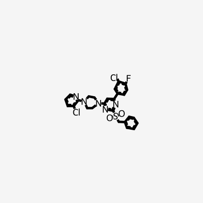 O=S(=O)(Cc1ccccc1)c1nc(-c2ccc(F)c(Cl)c2)cc(N2CCN(c3ncccc3Cl)CC2)n1